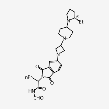 CCCC(C(=O)NC=O)N1C(=O)c2ccc(N3CC(N4CCC(N5CCC[C@H]5CC)CC4)C3)cc2C1=O